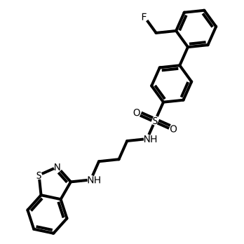 O=S(=O)(NCCCNc1nsc2ccccc12)c1ccc(-c2ccccc2CF)cc1